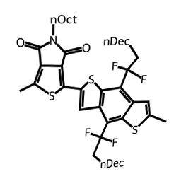 CCCCCCCCCCCC(F)(F)c1c2cc(-c3sc(C)c4c3C(=O)N(CCCCCCCC)C4=O)sc2c(C(F)(F)CCCCCCCCCCC)c2cc(C)sc12